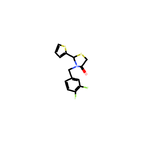 O=C1CSC(c2cccs2)N1Cc1ccc(F)c(F)c1